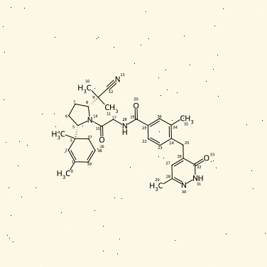 CC1=CC(C)([C@@H]2CC[C@H](C(C)(C)C#N)N2C(=O)CNC(=O)c2ccc(Cc3cc(C)n[nH]c3=O)c(C)c2)CC=C1